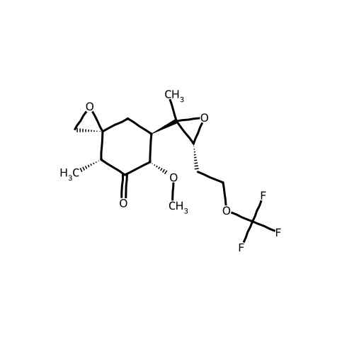 CO[C@@H]1C(=O)[C@H](C)[C@]2(CO2)C[C@H]1C1(C)O[C@@H]1CCOC(F)(F)F